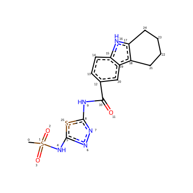 CS(=O)(=O)Nc1nnc(NC(=O)c2ccc3[nH]c4c(c3c2)CCCC4)s1